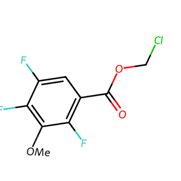 COc1c(F)c(F)cc(C(=O)OCCl)c1F